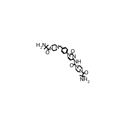 CC(C)(N)C(=O)N1CCN(Cc2ccc(-n3ccc(NC(=O)N4CCN(C(=O)C(C)(C)N)CC4)nc3=O)cc2)CC1